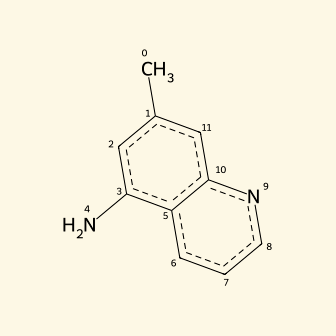 Cc1cc(N)c2cccnc2c1